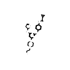 O=C(Nc1ccc(Sc2nc(NC3CC=NN3)cc(N3CCN(CCO)CC3)n2)cc1)C1CC1